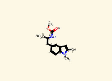 Cn1c(C#N)cc2cc(CC(NC(=O)OC(C)(C)C)C(=O)O)ccc21